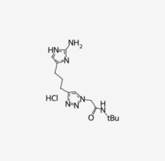 CC(C)(C)NC(=O)Cn1cc(CCCc2c[nH]c(N)n2)nn1.Cl